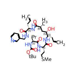 C=CC[C@H](NC(=O)[C@H](C)C[C@H](O)[C@H](CC=C)NC(=O)[C@H](CCSC)NC(=O)[C@@H](NC(=O)OC(C)(C)C)C(C)C)C(=O)NCc1cccnc1